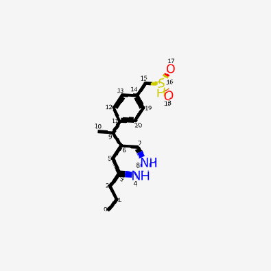 CCCC(=N)CC(C=N)C(C)c1ccc(C[SH](=O)=O)cc1